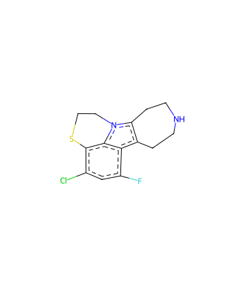 Fc1cc(Cl)c2c3c1c1c(n3CCS2)CCNCC1